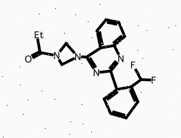 CCC(=O)N1CN(c2nc(-c3ccccc3C(F)F)nc3ccccc23)C1